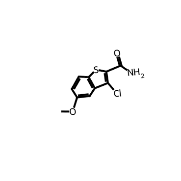 COc1ccc2sc(C(N)=O)c(Cl)c2c1